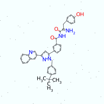 CC(C)(C)c1ccc(Cn2nc(-c3cnc4ccccc4c3)cc2-c2cccc(C(=O)NC(=O)[C@@H](N)Cc3ccc(O)cc3)c2)cc1